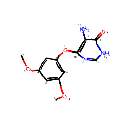 COc1cc(OC)cc(Oc2nc[nH]c(=O)c2N)c1